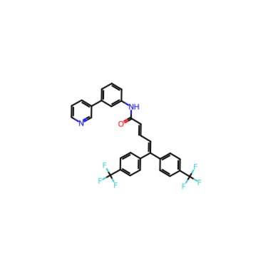 O=C(/C=C/C=C(c1ccc(C(F)(F)F)cc1)c1ccc(C(F)(F)F)cc1)Nc1cccc(-c2cccnc2)c1